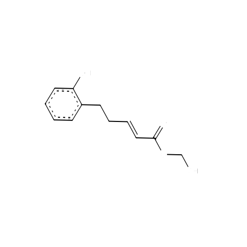 CCOC(=O)/C=C/CCc1ccccc1O